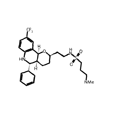 CNCCCS(=O)(=O)NCC[C@H]1CC[C@@H]2[C@H](O1)c1cc(C(F)(F)F)ccc1N[C@H]2C1C=CC=CC1